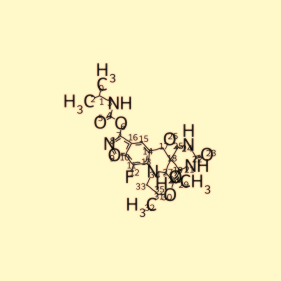 CC(C)NC(=O)Oc1noc2c(F)c3c(cc12)CC1(C(=O)NC(=O)NC1=O)[C@H]1[C@H](C)O[C@H](C)CN31